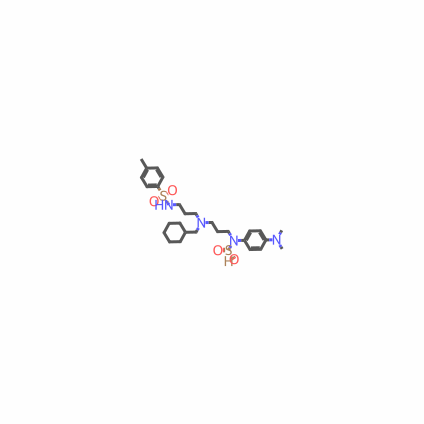 Cc1ccc(S(=O)(=O)NCCCN(CCCN(c2ccc(N(C)C)cc2)[SH](=O)=O)CC2CCCCC2)cc1